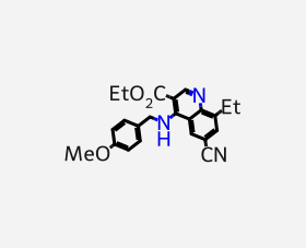 CCOC(=O)c1cnc2c(CC)cc(C#N)cc2c1NCc1ccc(OC)cc1